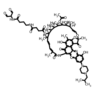 CC(=O)O[C@H]1[C@H](C)[C@H](O)[C@H](C)[C@@H](OC(=O)CCC(=O)NCCCC(=O)NC(C=O)C=O)[C@@H](C)/C=C/C=C(/C)C(=O)Nc2c3oc4cc(N5CCN(CC(C)C)CC5)cc(O)c4nc-3c3c4c(c(C)c(O)c3c2=O)O[C@](C)(O/C=C/[C@H](C)[C@H]1C)C4=O